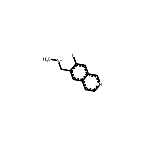 CNCc1cc2ccncc2cc1F